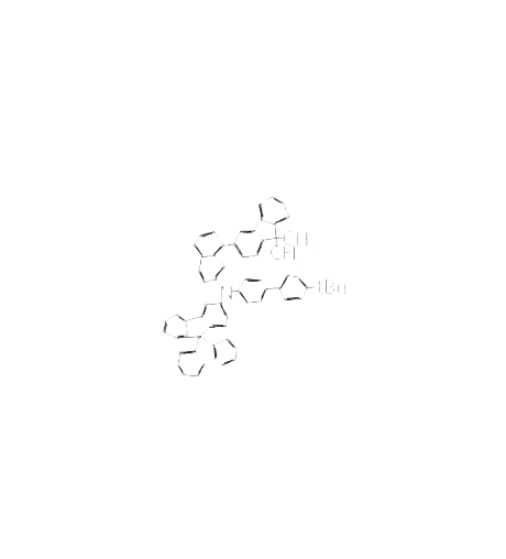 CC(C)(C)c1ccc(-c2ccc(N(c3ccc4c(c3)-c3ccccc3C4(c3ccccc3)c3ccccc3)c3ccc4cccc(-c5ccc6c(c5)-c5ccccc5C6(C)C)c4c3)cc2)cc1